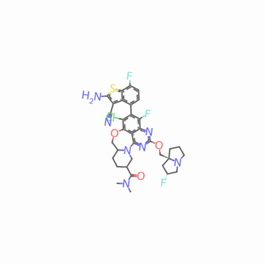 CN(C)C(=O)C1CCC2COc3c(Cl)c(-c4ccc(F)c5sc(N)c(C#N)c45)c(F)c4nc(OC[C@@]56CCCN5C[C@H](F)C6)nc(c34)N2C1